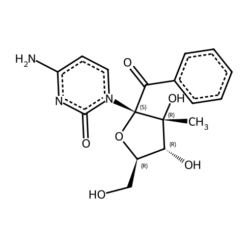 C[C@@]1(O)[C@H](O)[C@@H](CO)O[C@@]1(C(=O)c1ccccc1)n1ccc(N)nc1=O